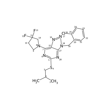 CC(C)CSc1nc(N2CCC(F)(F)C2)c2nnn(Cc3ccccc3Cl)c2n1